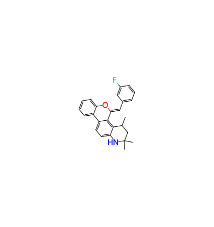 CC1CC(C)(C)Nc2ccc3c(c21)C(=Cc1cccc(F)c1)Oc1ccccc1-3